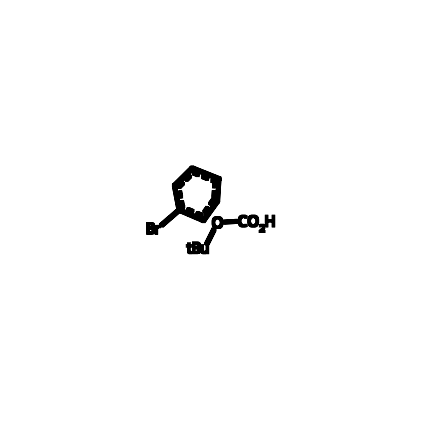 Brc1ccccc1.CC(C)(C)OC(=O)O